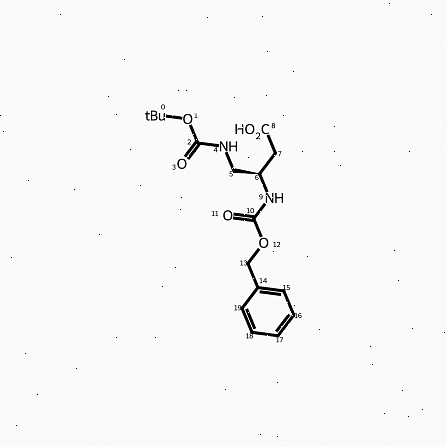 CC(C)(C)OC(=O)NC[C@@H](CC(=O)O)NC(=O)OCc1ccccc1